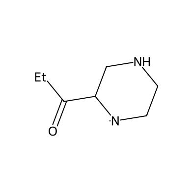 CCC(=O)C1CNCC[N]1